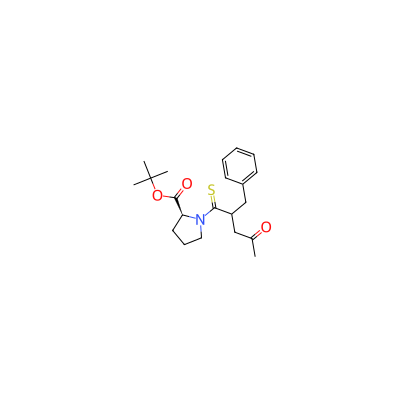 CC(=O)CC(Cc1ccccc1)C(=S)N1CCC[C@H]1C(=O)OC(C)(C)C